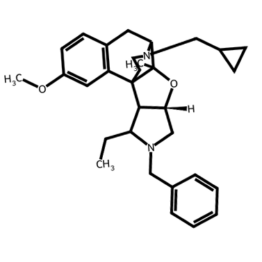 CCC1C2[C@@H](CN1Cc1ccccc1)OC1(C)C3Cc4ccc(OC)cc4C21CCN3CC1CC1